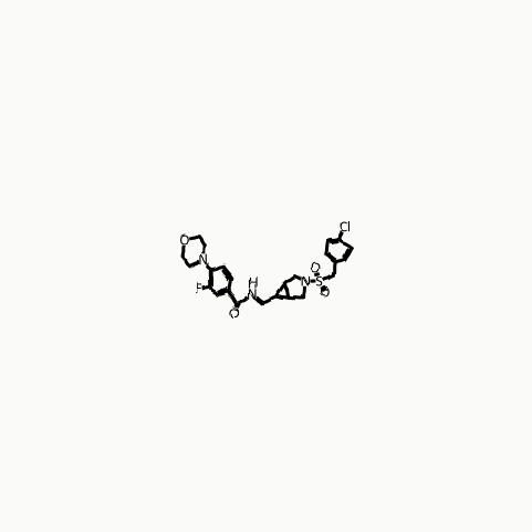 O=C(NCC1C2CN(S(=O)(=O)Cc3ccc(Cl)cc3)CC12)c1ccc(N2CCOCC2)c(F)c1